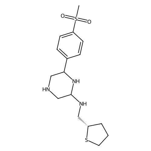 CS(=O)(=O)c1ccc(C2CNCC(NC[C@@H]3CCCS3)N2)cc1